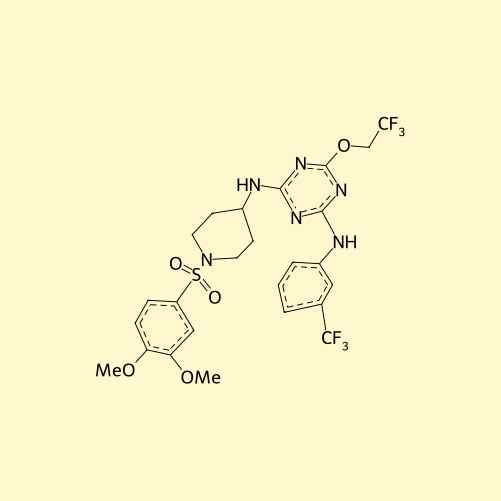 COc1ccc(S(=O)(=O)N2CCC(Nc3nc(Nc4cccc(C(F)(F)F)c4)nc(OCC(F)(F)F)n3)CC2)cc1OC